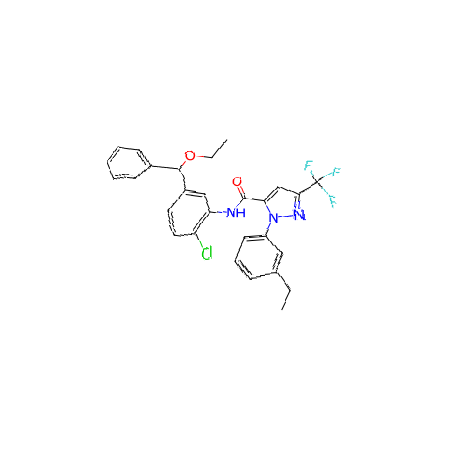 CCOC(c1ccccc1)c1ccc(Cl)c(NC(=O)c2cc(C(F)(F)F)nn2-c2cccc(CC)c2)c1